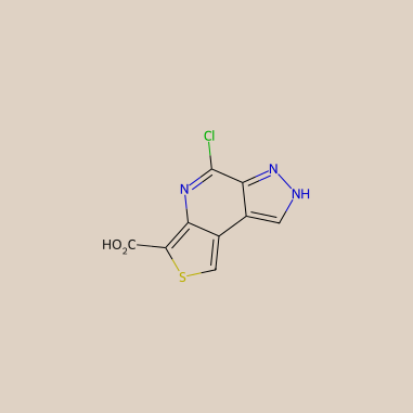 O=C(O)c1scc2c1nc(Cl)c1n[nH]cc12